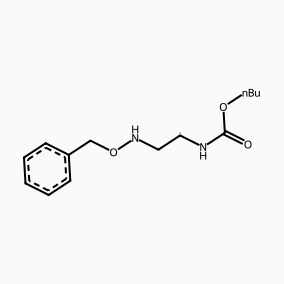 CCCCOC(=O)N[CH]CNOCc1ccccc1